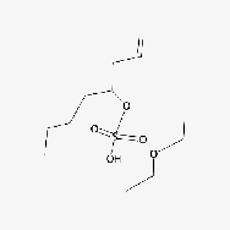 C=CCC(CCCC)OS(=O)(=O)O.CCOCC